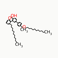 CCCCCCCCCCCCOC(C)c1ccc(-c2ccc(C(=O)O)c(-c3ccccc3CCCCCCCCCCCC)c2)cc1